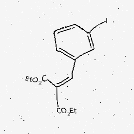 CCOC(=O)C(=Cc1cccc(I)c1)C(=O)OCC